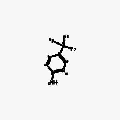 [NH]c1ccc(C(F)(F)F)cn1